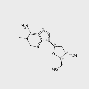 CN1CN=c2c(ncn2[C@H]2C[C@H](O)[C@@H](CO)O2)=C1N